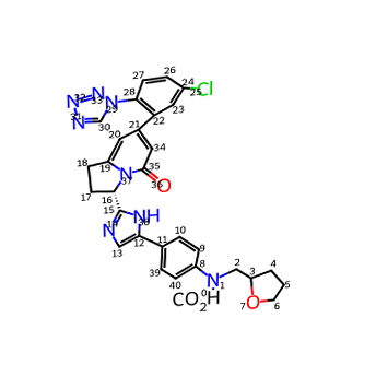 O=C(O)N(CC1CCCO1)c1ccc(-c2cnc([C@@H]3CCc4cc(-c5cc(Cl)ccc5-n5cnnn5)cc(=O)n43)[nH]2)cc1